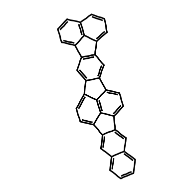 c1ccc2cc3c(cc2c1)-c1ccc2c4cc5c(cc4c4ccc-3c1c24)c1cccc2cccc5c21